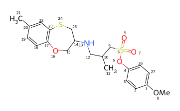 COc1ccc(OS(=O)(=O)CC(C)CNC2COc3ccc(C)cc3SC2)cc1